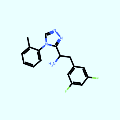 Cc1ccccc1-n1cnnc1C(N)Cc1cc(F)cc(F)c1